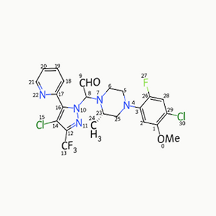 COc1cc(N2CCN(C(C=O)n3nc(C(F)(F)F)c(Cl)c3-c3ccccn3)[C@@H](C)C2)c(F)cc1Cl